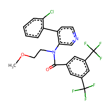 COCCN(C(=O)c1cc(C(F)(F)F)cc(C(F)(F)F)c1)c1cnccc1-c1ccccc1Cl